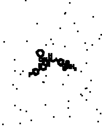 NS(=O)(=O)c1ccc(CCNc2nc(OC3CCCCCC3)c3nc(-c4ccc(F)cc4)ccc3n2)cc1